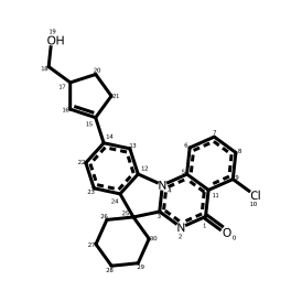 O=c1nc2n(c3cccc(Cl)c13)-c1cc(C3=CC(CO)CC3)ccc1C21CCCCC1